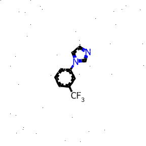 FC(F)(F)c1cccc(-n2c[c]nc2)c1